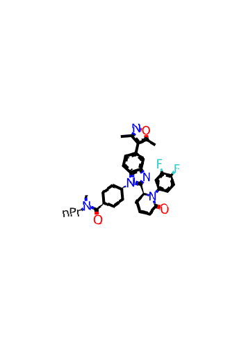 CCCN(C)C(=O)[C@H]1CC[C@H](n2c([C@@H]3CCCC(=O)N3c3ccc(F)c(F)c3)nc3cc(-c4c(C)noc4C)ccc32)CC1